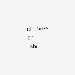 [Cl-].[Cl-].[Sb].[Sn+2]